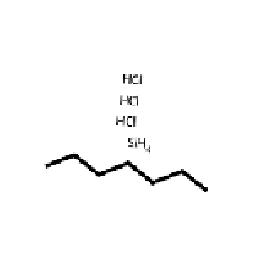 CCCCCCC.Cl.Cl.Cl.[SiH4]